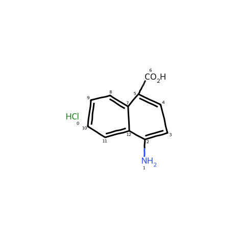 Cl.Nc1ccc(C(=O)O)c2ccccc12